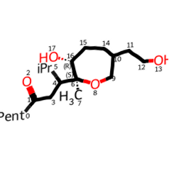 CCCC(C)C(=O)CC(C(C)C)[C@]1(C)OCC(CCO)CC[C@H]1O